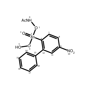 CC(=O)NO[As](=O)(OO)c1ccc([N+](=O)[O-])cc1-c1ccccc1